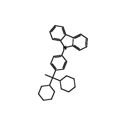 CC(c1ccc(-n2c3ccccc3c3ccccc32)cc1)(C1CCCCC1)C1CCCCC1